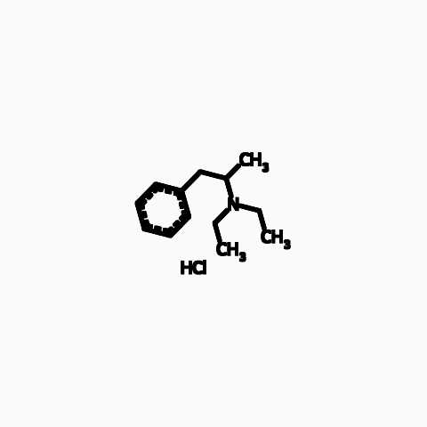 CCN(CC)C(C)Cc1ccccc1.Cl